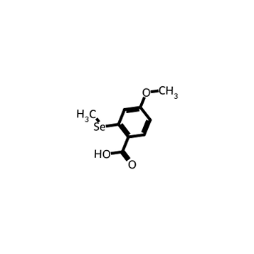 COc1ccc(C(=O)O)c([Se]C)c1